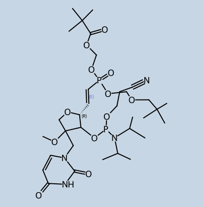 COC1(Cn2ccc(=O)[nH]c2=O)CO[C@H](/C=C/P(=O)(OCOCC(C)(C)C)OCOC(=O)C(C)(C)C)C1OP(OCCC#N)N(C(C)C)C(C)C